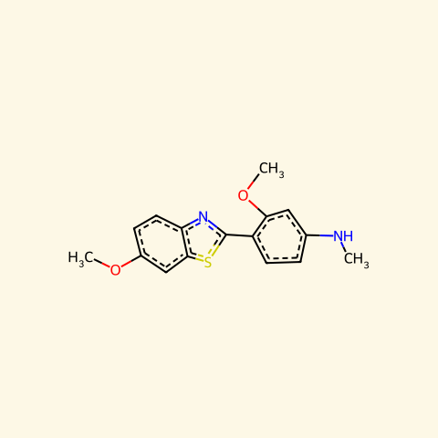 CNc1ccc(-c2nc3ccc(OC)cc3s2)c(OC)c1